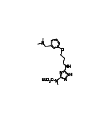 CCOC(=O)N(C)c1n[nH]c(NCCCOc2cccc(CN(C)C)c2)n1